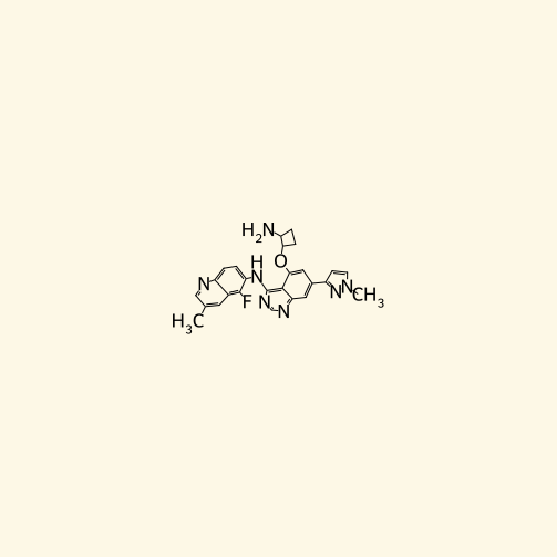 Cc1cnc2ccc(Nc3ncnc4cc(-c5ccn(C)n5)cc(OC5CCC5N)c34)c(F)c2c1